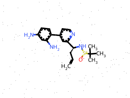 C=CC[C@H](N[S+]([O-])C(C)(C)C)c1cc(-c2ccc(N)cc2N)ccn1